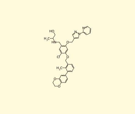 Cc1c(COc2cc(OCc3cnn(-c4ccccn4)c3)c(CNC(C)CO)cc2Cl)cccc1-c1ccc2c(c1)OCCO2